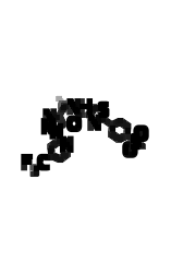 C[C@H](NC(=O)c1csc(-c2ccc(S(C)(=O)=O)cc2)n1)c1cn(-c2cc(C(F)(F)F)ccn2)nn1